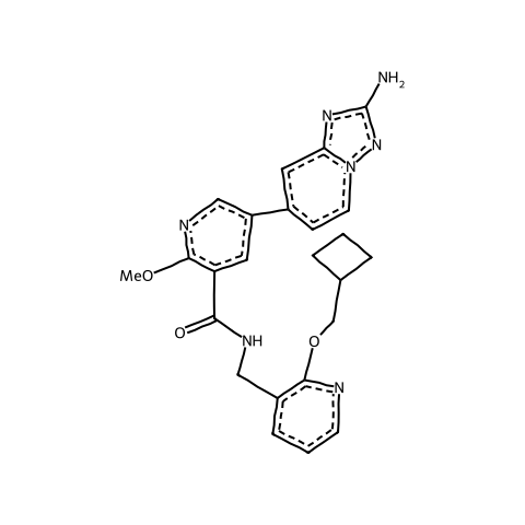 COc1ncc(-c2ccn3nc(N)nc3c2)cc1C(=O)NCc1cccnc1OCC1CCC1